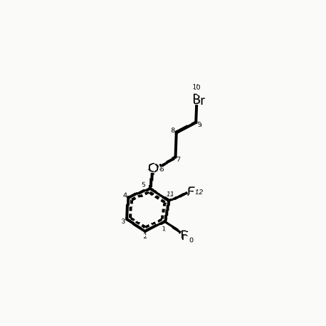 Fc1cccc(OCCCBr)c1F